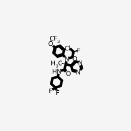 C[C@@](C(=O)NC1CCC(F)(F)CC1)(c1cncnc1)N(C(=O)[C@H](F)Cl)c1ccc(OC(F)(F)F)cc1